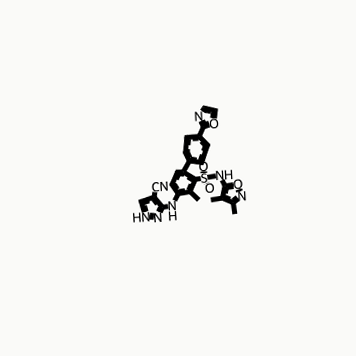 Cc1noc(NS(=O)(=O)c2c(-c3ccc(-c4ncco4)cc3)ccc(Nc3n[nH]cc3C#N)c2C)c1C